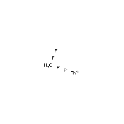 O.[F-].[F-].[F-].[F-].[Th+4]